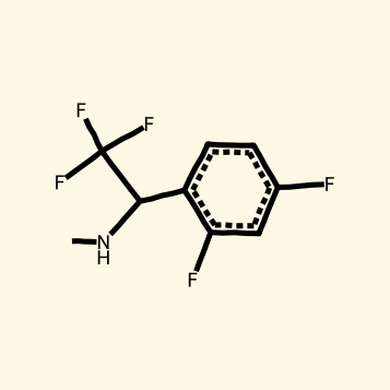 CNC(c1ccc(F)cc1F)C(F)(F)F